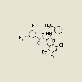 CCn1c(=O)cc(Cl)c2nc(Nc3ccccc3C)c(NC(=O)c3cc(F)cc(C(F)(F)F)c3)cc21